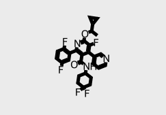 CC(Oc1nc(-c2cc(F)ccc2F)c(C(=O)NC2CCC(F)(F)CC2)c(-c2cccnc2)c1F)C1CC1